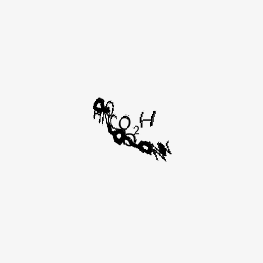 O=C(O)/C(=C\c1ccc(OCc2ccc(-n3cncn3)cc2)cc1)NC(=O)c1ccccc1